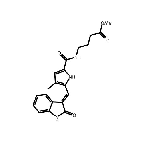 COC(=O)CCCNC(=O)c1cc(C)c(C=C2C(=O)Nc3ccccc32)[nH]1